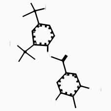 CCC(C)(C)c1ccc(OC(=O)c2cc(C(C)(C)C)c(C)c(C(C)(C)C)c2)c(C(C)(C)CC)c1